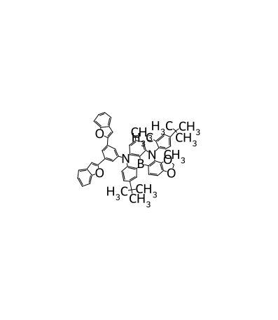 Cc1cc2c3c(c1)N(c1c(C)cc(C(C)(C)C)cc1C)c1c(ccc4c1OCO4)B3c1cc(C(C)(C)C)ccc1N2c1cc(-c2cc3ccccc3o2)cc(-c2cc3ccccc3o2)c1